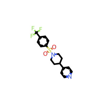 O=S(=O)(c1ccc(C(F)(F)F)cc1)N1CCC(c2ccncc2)CC1